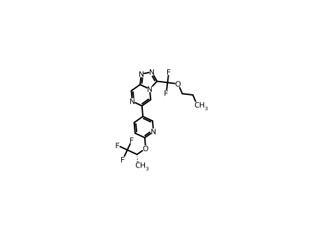 CCCOC(F)(F)c1nnc2cnc(-c3ccc(O[C@H](C)C(F)(F)F)nc3)cn12